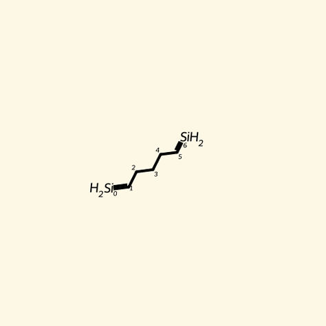 [SiH2]=CCCCC=[SiH2]